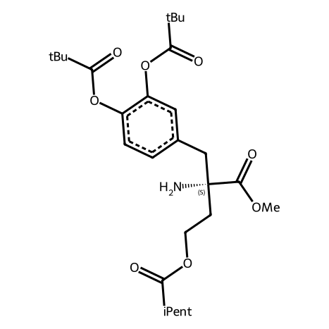 CCCC(C)C(=O)OCC[C@@](N)(Cc1ccc(OC(=O)C(C)(C)C)c(OC(=O)C(C)(C)C)c1)C(=O)OC